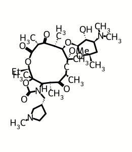 CC[C@H]1OC(=O)[C@H](C)C(=O)[C@H](C)[C@@H](O[C@@H]2O[C@H](C)C[C@H](N(C)C)[C@H]2O)[C@](C)(OC)C[C@@H](C)C(=O)[C@H](C)[C@H]2N(C[C@@H]3CCN(C)C3)C(=O)O[C@]12C